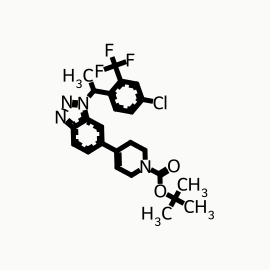 CC(c1ccc(Cl)cc1C(F)(F)F)n1nnc2ccc(C3=CCN(C(=O)OC(C)(C)C)CC3)cc21